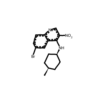 C[C@H]1CC[C@@H](Nc2c([N+](=O)[O-])cnc3ccc(Br)cc23)CC1